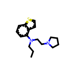 CCCN(CCN1CCCC1)c1cccc2sccc12